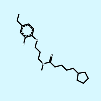 CCc1ccc(OCCCN(C)C(=O)CCCCC2CCCC2)c(Cl)c1